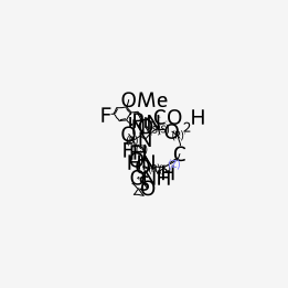 COc1cc(F)cc2c(O[C@]3(C)CN4C(=O)[C@@H](N(C(=O)O)C(C)C)[C@H](C)O[C@H](C)CC/C=C\[C@@H]5C[C@@]5(C(=O)NS(=O)(=O)C5(C)CC5)NC(=O)[C@H]4C3(F)F)nccc12